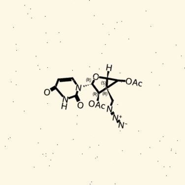 CC(=O)OC1[C@H]2O[C@@H](n3ccc(=O)[nH]c3=O)[C@H](OC(C)=O)[C@@]12CN=[N+]=[N-]